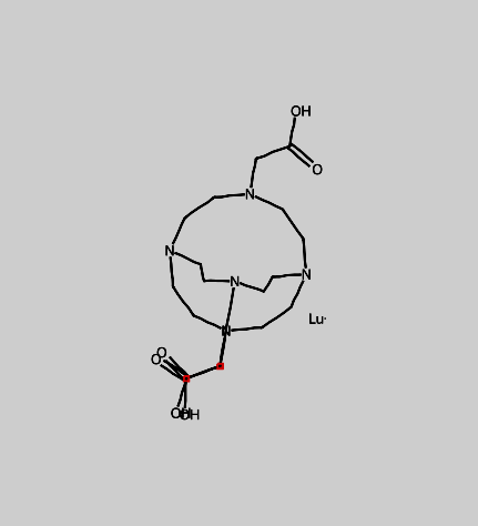 O=C(O)CN1CCN2CCN(CC(=O)O)CCN(CC1)CCN(CC(=O)O)CC2.[Lu]